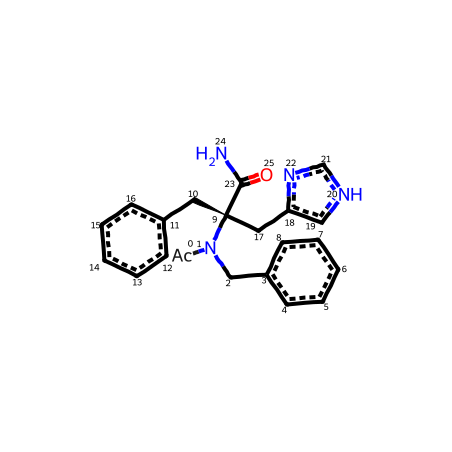 CC(=O)N(Cc1ccccc1)[C@@](Cc1ccccc1)(Cc1c[nH]cn1)C(N)=O